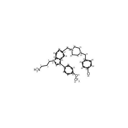 NCCCn1cc(-c2ccc(OC(F)(F)F)cc2)c2cc(CN3CCN(Cc4ccc(Cl)cc4)CC3)ccc21